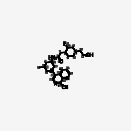 C[C@H]1C[C@@H](NC(=O)CC2CCN(CCO)CC2F)CN(c2cnc(C#N)c3ncccc23)C1